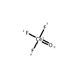 [O]=[Ce]([F])([F])[F]